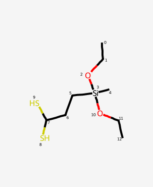 CCO[Si](C)(CCC(S)S)OCC